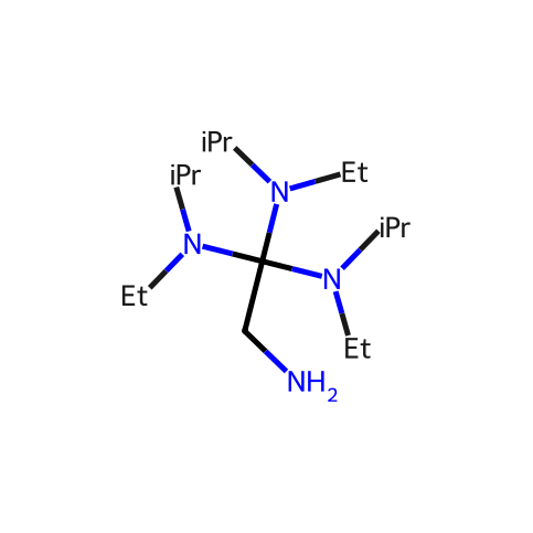 CCN(C(C)C)C(CN)(N(CC)C(C)C)N(CC)C(C)C